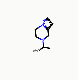 CSC(C)N1CCn2nccc2C1